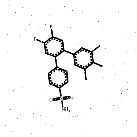 Cc1cc(-c2cc(F)c(F)cc2-c2ccc(S(N)(=O)=O)cc2)cc(C)c1C